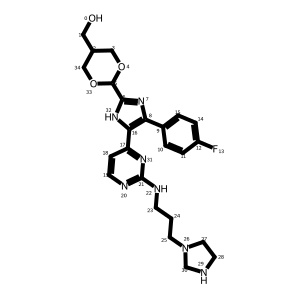 OCC1COC(c2nc(-c3ccc(F)cc3)c(-c3ccnc(NCCCN4CCNC4)n3)[nH]2)OC1